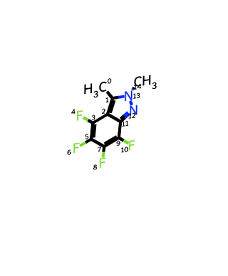 Cc1c2c(F)c(F)c(F)c(F)c2nn1C